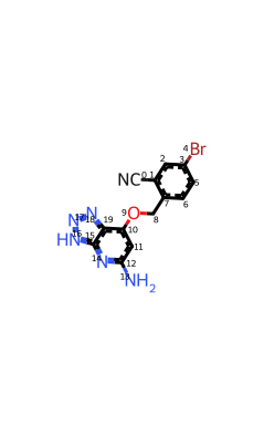 N#Cc1cc(Br)ccc1COc1cc(N)nc2[nH]nnc12